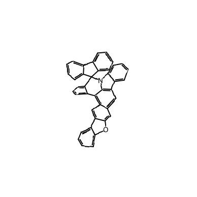 c1ccc2c(c1)-c1ccccc1C21c2ccccc2-c2c3cc4c(cc3cc3c5ccccc5n1c23)oc1ccccc14